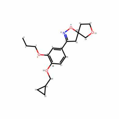 CCCOc1cc(C2=NOC3(CCOC3)C2)ccc1OCC1CC1